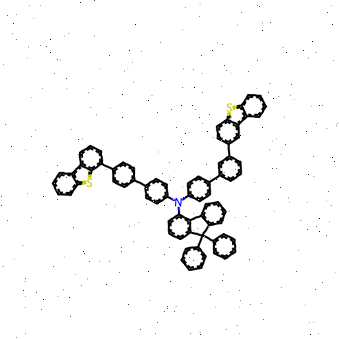 c1ccc(C2(c3ccccc3)c3ccccc3-c3c(N(c4ccc(-c5ccc(-c6cccc7c6sc6ccccc67)cc5)cc4)c4ccc(-c5cccc(-c6ccc7sc8ccccc8c7c6)c5)cc4)cccc32)cc1